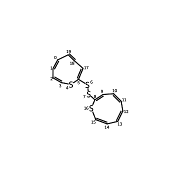 c1cccsc(SSc2cccccccs2)ccc1